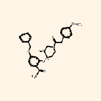 NC(=O)c1ccc(OCc2ccccc2)cc1O[C@H]1CCN(C(=O)Cc2ccc(OC(F)(F)F)cc2)C[C@@H]1F